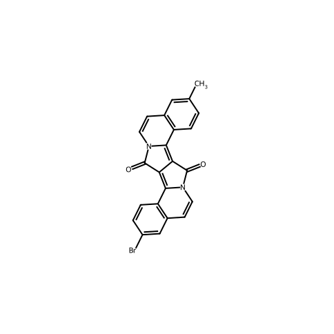 Cc1ccc2c(c1)C=CN1C(=O)C3=C4c5ccc(Br)cc5C=CN4C(=O)C3=C21